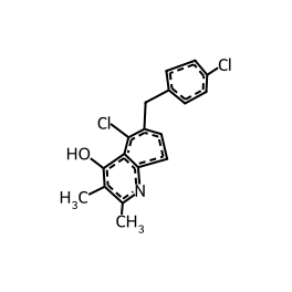 Cc1nc2ccc(Cc3ccc(Cl)cc3)c(Cl)c2c(O)c1C